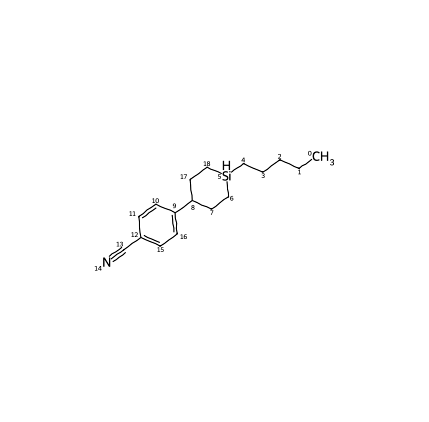 CCCCC[SiH]1CCC(c2ccc(C#N)cc2)CC1